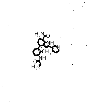 C=CC(=O)Nc1cccc(-c2ccc(C(N)=O)c3[nH]c(-c4cccnc4)cc23)c1C